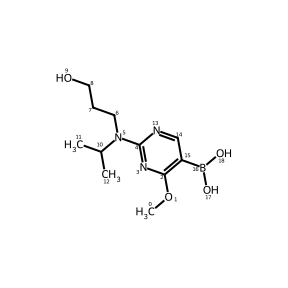 COc1nc(N(CCCO)C(C)C)ncc1B(O)O